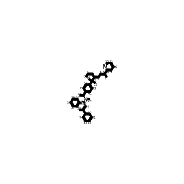 C\C=C/C(=C\C=C(/C)c1ccccn1)C(C)(C)c1ccc(C(C)N(C)N(/C=C(\C)c2ccccc2)c2ccccc2)cc1